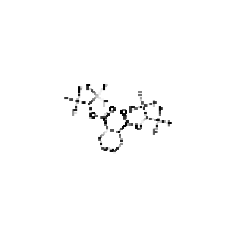 O=C(OC(C(F)(F)F)C(F)(F)F)[C@H]1CC=CC[C@H]1C(=O)OC(C(F)(F)F)C(F)(F)F